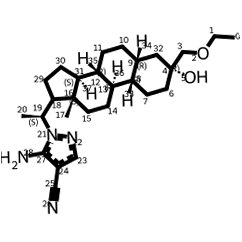 CCOC[C@@]1(O)CC[C@H]2[C@H](CC[C@@H]3[C@@H]2CC[C@]2(C)C([C@H](C)n4ncc(C#N)c4N)CC[C@@H]32)C1